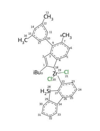 CCC(C)C1=Cc2c(ccc(C)c2-c2cc(C)cc(C)c2)[CH]1[Zr]([Cl])([Cl])[c]1cccc2c1[SiH2]c1ccccc1-2